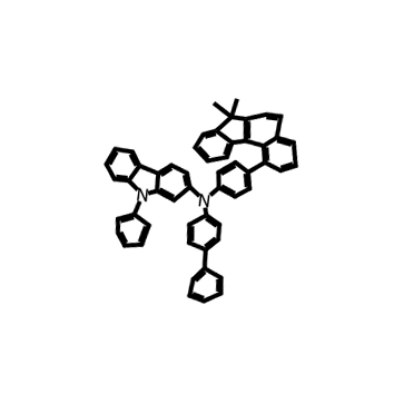 CC1(C)c2ccccc2-c2c1ccc1cccc(-c3ccc(N(c4ccc(-c5ccccc5)cc4)c4ccc5c6ccccc6n(-c6ccccc6)c5c4)cc3)c21